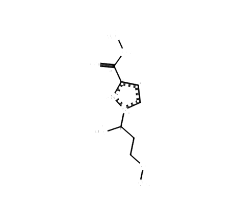 COCCC(C)n1ccc(C(=O)OC)n1